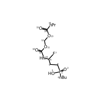 CCCCP(=O)(O)CCC(F)NC(=O)OCOC(=O)CCC